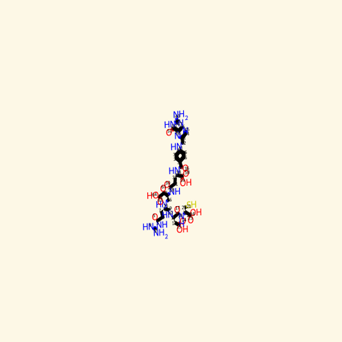 N=C(N)NC(=O)CC[C@@H](CN[C@@H](CC(=O)O)C(=O)N[C@H](CS)C(=O)O)NC[C@H](NC(=O)CC[C@H](NC(=O)c1ccc(NCc2cnc3nc(N)[nH]c(=O)c3n2)cc1)C(=O)O)C(=O)C(=O)O